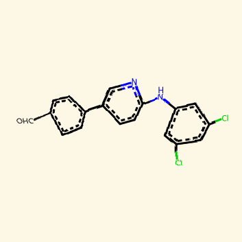 O=Cc1ccc(-c2ccc(Nc3cc(Cl)cc(Cl)c3)nc2)cc1